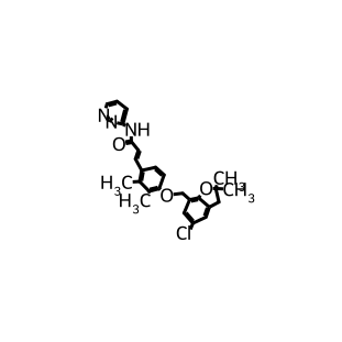 Cc1c(C=CC(=O)Nc2cccnn2)ccc(OCc2cc(Cl)cc3c2OC(C)(C)C3)c1C